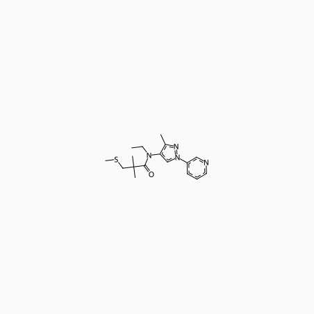 CCN(C(=O)C(C)(C)CSC)c1cn(-c2cccnc2)nc1C